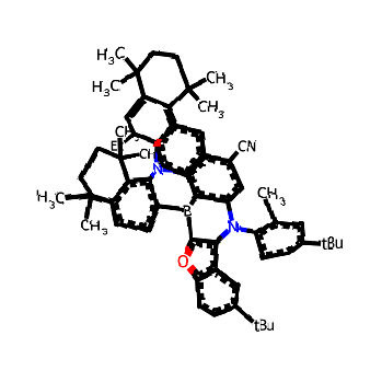 CCC(/C=C1\C(=C/CN2c3cc(C#N)cc4c3B(c3ccc5c(c32)C(C)(C)CCC5(C)C)c2oc3ccc(C(C)(C)C)cc3c2N4c2ccc(C(C)(C)C)cc2C)C(C)(C)CCC1(C)C)c1ccccc1